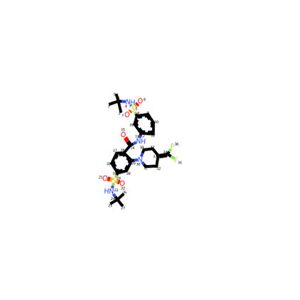 CC(C)(C)NS(=O)(=O)c1cccc(NC(=O)c2ccc(S(=O)(=O)NC(C)(C)C)cc2N2CCC(=C(F)F)CC2)c1